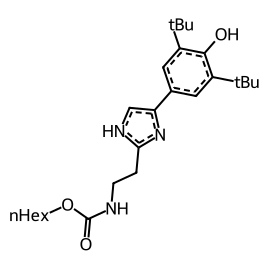 CCCCCCOC(=O)NCCc1nc(-c2cc(C(C)(C)C)c(O)c(C(C)(C)C)c2)c[nH]1